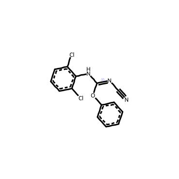 N#C/N=C(/Nc1c(Cl)cccc1Cl)Oc1ccccc1